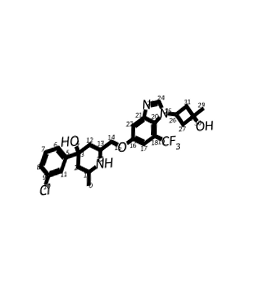 CC1CC(O)(c2cccc(Cl)c2)CC(COc2cc(C(F)(F)F)c3c(c2)ncn3C2CC(C)(O)C2)N1